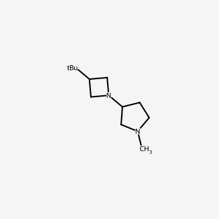 CN1CCC(N2CC(C(C)(C)C)C2)C1